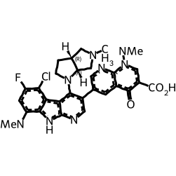 CNc1cc(F)c(Cl)c2c1[nH]c1ncc(-c3cnc4c(c3)c(=O)c(C(=O)O)cn4NC)c(N3CC[C@@H]4CN(C)C[C@@H]43)c12